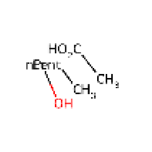 CC(=O)O.CCCCCC.CCO